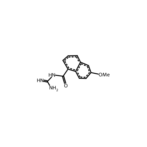 COc1ccc2c(C(=O)NC(=N)N)cccc2c1